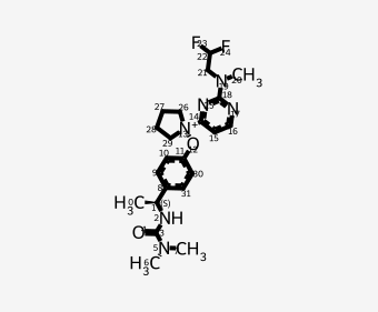 C[C@H](NC(=O)N(C)C)c1ccc(O[N+]2(c3ccnc(N(C)CC(F)F)n3)CCCC2)cc1